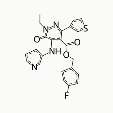 CCn1nc(-c2ccsc2)c(C(=O)OCc2ccc(F)cc2)c(Nc2cccnc2)c1=O